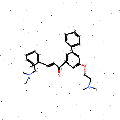 CN(C)CCOc1cc(C(=O)C=Cc2ccccc2CN(C)C)cc(-c2ccccc2)c1